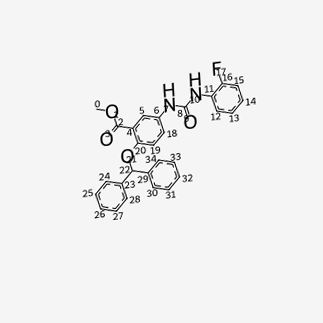 COC(=O)c1cc(NC(=O)Nc2ccccc2F)ccc1OC(c1ccccc1)c1ccccc1